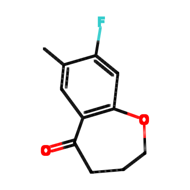 Cc1cc2c(cc1F)OCCCC2=O